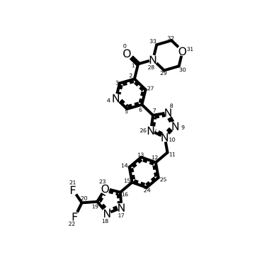 O=C(c1cncc(-c2nnn(Cc3ccc(-c4nnc(C(F)F)o4)cc3)n2)c1)N1CCOCC1